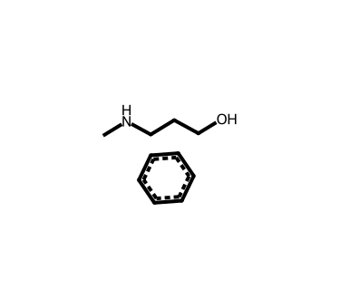 CNCCCO.c1ccccc1